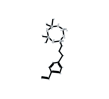 C=Cc1ccc(CCC[SiH]2O[SiH2]O[Si](C)(C)O[Si](C)(C)O2)cc1